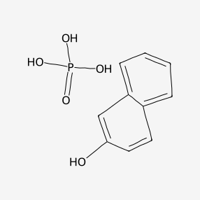 O=P(O)(O)O.Oc1ccc2ccccc2c1